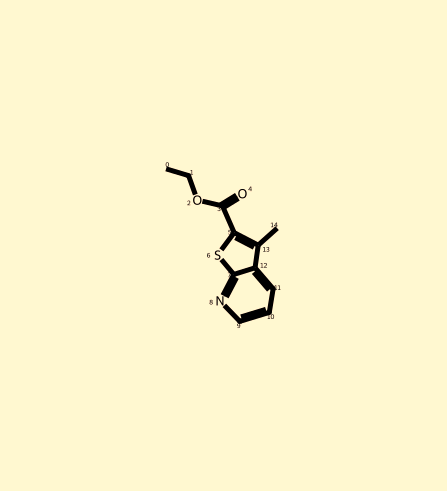 CCOC(=O)c1sc2ncccc2c1C